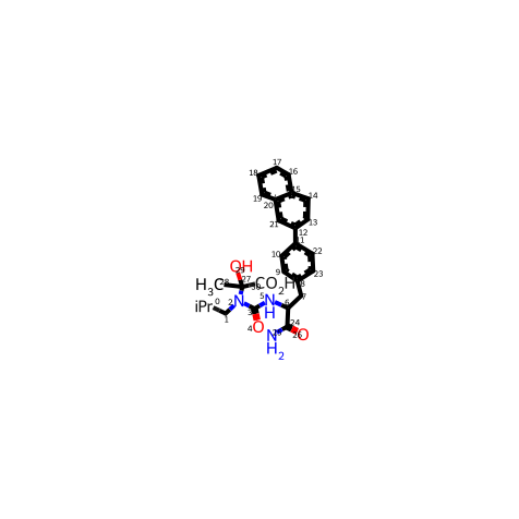 CC(C)CN(C(=O)NC(Cc1ccc(-c2ccc3ccccc3c2)cc1)C(N)=O)C(C)(O)C(=O)O